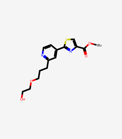 CC(C)(C)OC(=O)c1csc(-c2ccnc(CCCOCCO)c2)n1